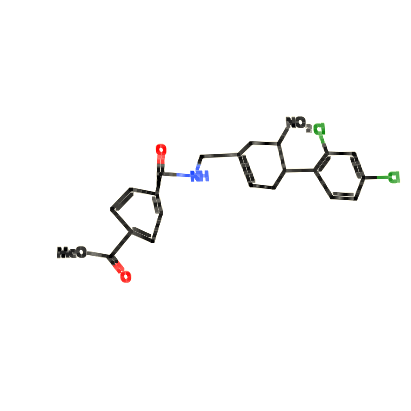 COC(=O)c1ccc(C(=O)NCC2=CCC(c3ccc(Cl)cc3Cl)C([N+](=O)[O-])C2)cc1